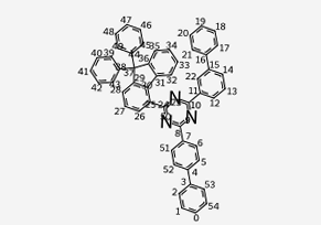 c1ccc(-c2ccc(-c3nc(-c4cccc(-c5ccccc5)c4)nc(-c4cccc5c4-c4ccccc4C5(c4ccccc4)c4ccccc4)n3)cc2)cc1